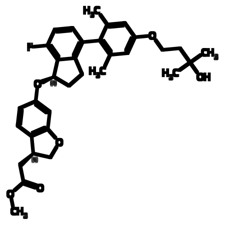 COC(=O)C[C@@H]1COc2cc(O[C@@H]3CCc4c(-c5c(C)cc(OCCC(C)(C)O)cc5C)ccc(F)c43)ccc21